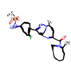 CCc1cc(C(=O)N2CCCCCCC2C)nc2cc(-c3ccc(NS(C)(=O)=O)cc3F)nn12